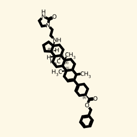 CC1C(C2=CC[C@H](C(=O)OCc3ccccc3)CC2)=CC[C@@]2(C)C1CC[C@]1(C)C2CC[C@@H]2[C@H]3CCC[C@]3(NCCN3CCNC3=O)CC[C@]21C